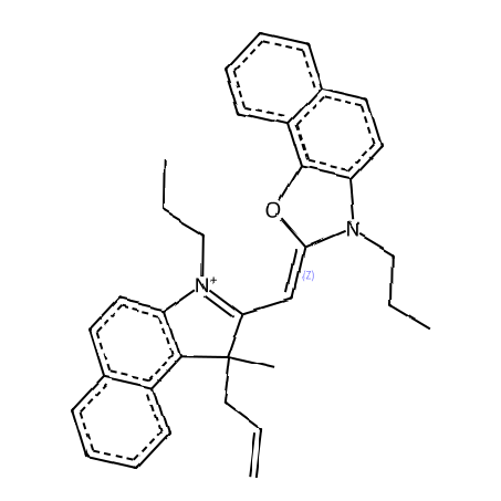 C=CCC1(C)C(/C=C2\Oc3c(ccc4ccccc34)N2CCC)=[N+](CCC)c2ccc3ccccc3c21